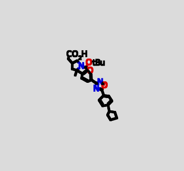 CC(C)(C)OC(=O)N1CC(CC(=O)O)CC1(C)c1ccc(-c2noc(-c3ccc(C4CCCC4)cc3)n2)cc1